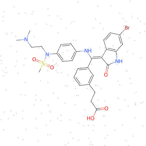 CN(C)CCN(c1ccc(NC(=C2C(=O)Nc3cc(Br)ccc32)c2cccc(CCC(=O)O)c2)cc1)S(C)(=O)=O